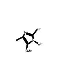 CCCn1c(C(C)C)nc(C)c1SC